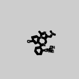 CCO.Cc1nc(CN(C)C)c2n1-c1ccc(Cl)cc1C(c1ccccc1Cl)=NC2.Cl.Cl